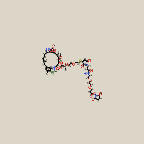 C/C1=C\C=C\[C@@H](C)[C@@]2(O)CC(OC(=O)N2)[C@@H](C)[C@@H]2O[C@@]2(C)[C@@H](OC(=O)[C@H](C)OCCOCCSC2CC(=O)N(CCC(=O)NCCOCCOCCC(=O)ON3C(=O)CCC3=O)C2=O)CC(=O)N(C)c2cc(cc(C)c2Cl)C1